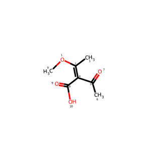 COC(C)=C(C(C)=O)C(=O)O